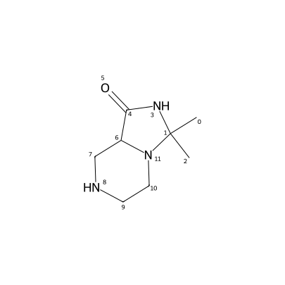 CC1(C)NC(=O)C2CNCCN21